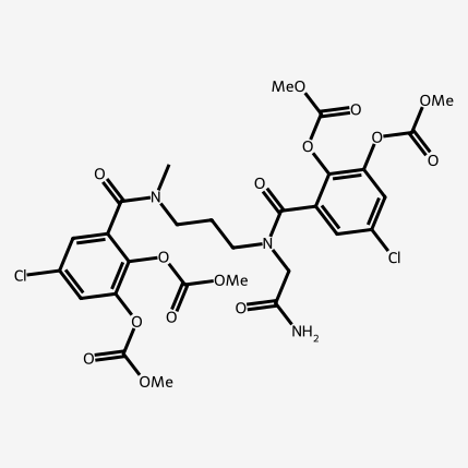 COC(=O)Oc1cc(Cl)cc(C(=O)N(C)CCCN(CC(N)=O)C(=O)c2cc(Cl)cc(OC(=O)OC)c2OC(=O)OC)c1OC(=O)OC